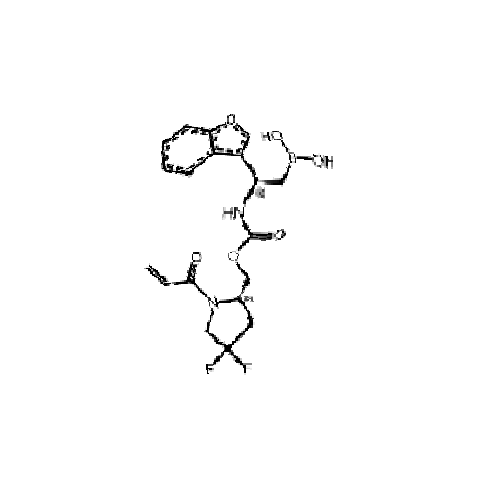 C=CC(=O)N1CC(F)(F)C[C@@H]1COC(=O)N[C@H](CB(O)O)c1coc2ccccc12